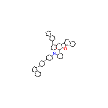 c1ccc(N(c2ccc(-c3ccc(-c4cccc5ccccc45)cc3)cc2)c2ccc(-c3ccc4ccccc4c3)cc2)c(-c2cccc3c2oc2c4ccccc4ccc32)c1